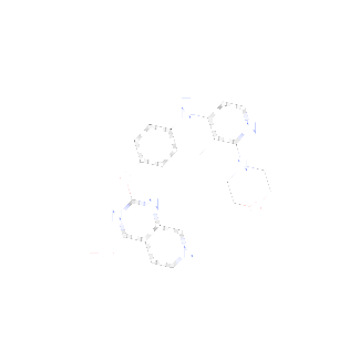 Cc1c(Nc2ccc(Oc3nc(O)c4ccncc4n3)cc2)ccnc1N1CCOCC1